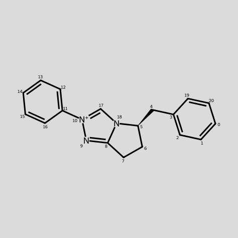 c1ccc(C[C@H]2CCc3n[n+](-c4ccccc4)cn32)cc1